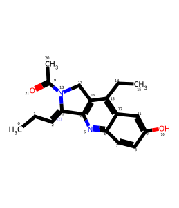 CC/C=C1/c2nc3ccc(O)cc3c(CC)c2CN1C(C)=O